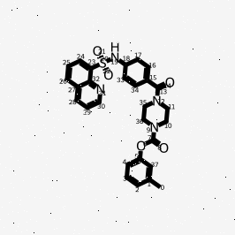 Cc1cccc(OC(=O)N2CCN(C(=O)C3=CCC(NS(=O)(=O)c4cccc5cccnc45)C=C3)CC2)c1